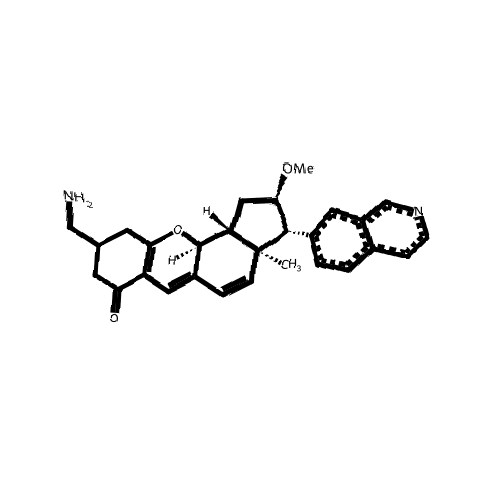 CO[C@@H]1C[C@H]2[C@@H]3OC4=C(C=C3C=C[C@]2(C)[C@H]1c1ccc2ccncc2c1)C(=O)CC(CN)C4